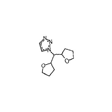 c1cn(C(C2CCCO2)C2CCCO2)nn1